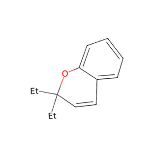 CCC1(CC)C=Cc2ccccc2O1